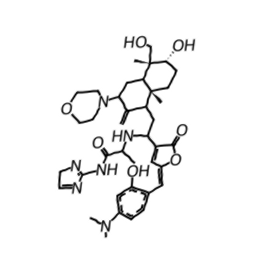 C=C1C(N2CCOCC2)CC2[C@](C)(CC[C@@H](O)[C@@]2(C)CO)C1CC(NC(C)C(=O)NC1=NCC=N1)C1=C/C(=C\c2ccc(N(C)C)cc2O)OC1=O